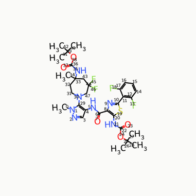 Cn1ncc(NC(=O)c2nc(-c3c(F)cccc3F)sc2NC(=O)OC(C)(C)C)c1N1CCC(C)(NC(=O)OC(C)(C)C)CC(F)(F)C1